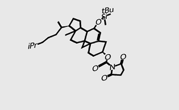 CC(C)CCCC(C)[C@H]1CCC2C3C(O[Si](C)(C)C(C)(C)C)C=C4C[C@@H](OC(=O)N5C(=O)CCC5=O)CCC45CC35CCC21C